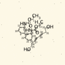 CCOC(=O)Nc1ccccc1.CCOC(=O)Nc1ccccc1.OCCC#CC#CCCO